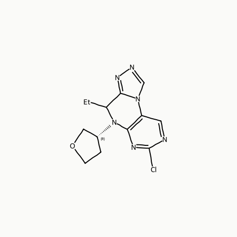 CCC1c2nncn2-c2cnc(Cl)nc2N1[C@@H]1CCOC1